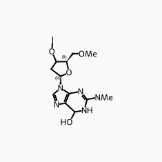 CNC1=Nc2c(ncn2[C@H]2CC(OI)[C@@H](COC)O2)C(O)N1